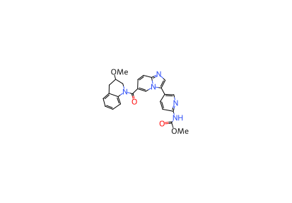 COC(=O)Nc1ccc(-c2cnc3ccc(C(=O)N4CC(OC)Cc5ccccc54)cn23)cn1